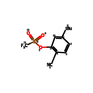 CC(C)(C)c1ccc(C#N)c(OS(=O)(=O)C(F)(F)F)c1